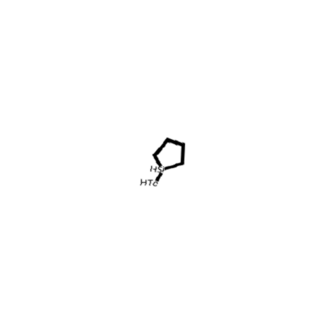 [TeH][SiH]1CCCC1